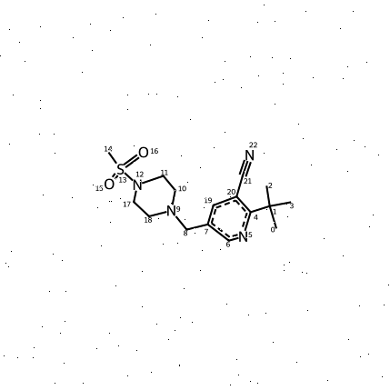 CC(C)(C)c1ncc(CN2CCN(S(C)(=O)=O)CC2)cc1C#N